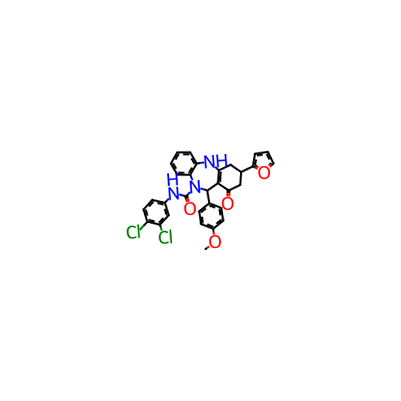 COc1ccc(C2C3=C(CC(c4ccco4)CC3=O)Nc3ccccc3N2C(=O)Nc2ccc(Cl)c(Cl)c2)cc1